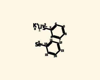 [K+].[Li+].[S-]c1ccccc1.[Se-]c1ccccc1